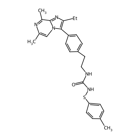 CCc1nc2c(C)nc(C)cn2c1-c1ccc(CCNC(=O)NSc2ccc(C)cc2)cc1